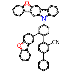 N#Cc1cc(-c2ccccc2)ccc1-c1ccc(-n2c3ccccc3c3cc4oc5ccccc5c4cc32)cc1-c1ccc2oc3ccccc3c2c1